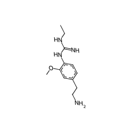 CCNC(=N)Nc1ccc(CCN)cc1OC